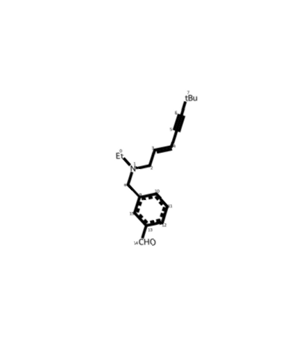 CCN(CC=CC#CC(C)(C)C)Cc1cccc(C=O)c1